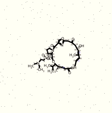 CCN(CC)CCS(=O)(=O)[C@@H]1CCN2C(=O)c3coc(n3)CC(=O)C[C@H](O)/C=C(C)/C=C/CNC(=O)/C=C/[C@@H](C)C(C(C)C)OC(=O)[C@@H]12